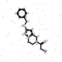 O=C(CBr)N1CCn2nc(OCc3ccccc3)cc2C1